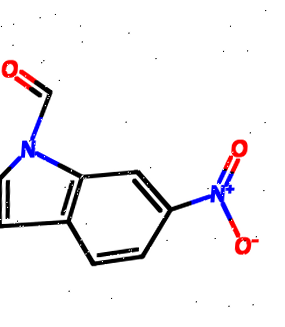 O=Cn1ccc2ccc([N+](=O)[O-])cc21